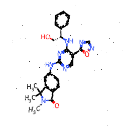 CN1C(=O)c2ccc(Nc3ncc(-c4ncno4)c(N[C@H](CO)c4ccccc4)n3)cc2C1(C)C